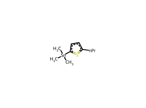 CCCc1cc[c]([Sn]([CH3])([CH3])[CH3])s1